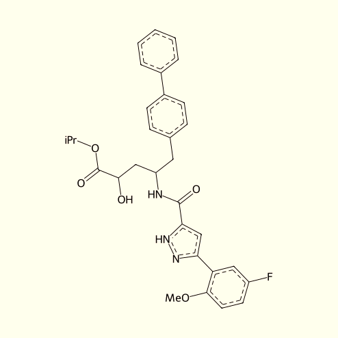 COc1ccc(F)cc1-c1cc(C(=O)NC(Cc2ccc(-c3ccccc3)cc2)CC(O)C(=O)OC(C)C)[nH]n1